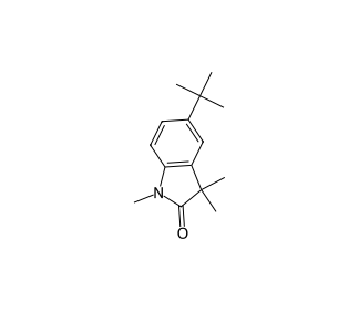 CN1C(=O)C(C)(C)c2cc(C(C)(C)C)ccc21